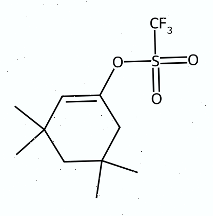 CC1(C)C=C(OS(=O)(=O)C(F)(F)F)CC(C)(C)C1